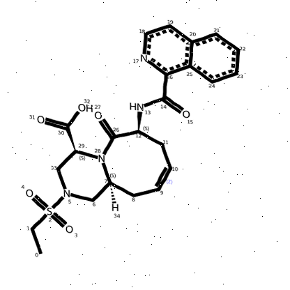 CCS(=O)(=O)N1C[C@@H]2C/C=C\C[C@H](NC(=O)c3nccc4ccccc34)C(=O)N2[C@H](C(=O)O)C1